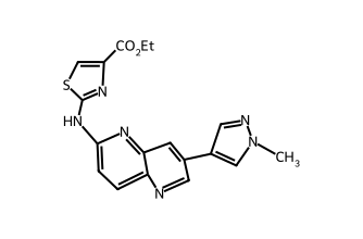 CCOC(=O)c1csc(Nc2ccc3ncc(-c4cnn(C)c4)cc3n2)n1